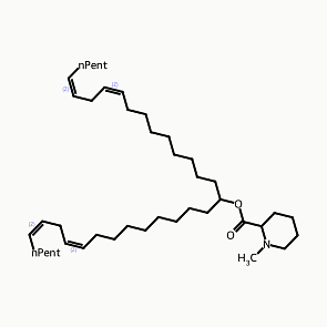 CCCCC/C=C\C/C=C\CCCCCCCCC(CCCCCCCC/C=C\C/C=C\CCCCC)OC(=O)C1CCCCN1C